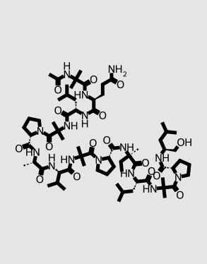 CC[C@@](C)(NC(=O)[C@@H]1CCCN1C(=O)C(C)(C)NC(=O)[C@@H](NC(=O)[C@H](C)NC(=O)[C@@H]1CCCN1C(=O)C(C)(C)NC(=O)[C@H](CC(C)C)NC(=O)[C@H](CCC(N)=O)NC(=O)C(C)(C)NC(C)=O)C(C)C)C(=O)N[C@@H](CC(C)C)C(=O)NC(C)(C)C(=O)N1CCC[C@H]1C(=O)N[C@H](CO)CC(C)C